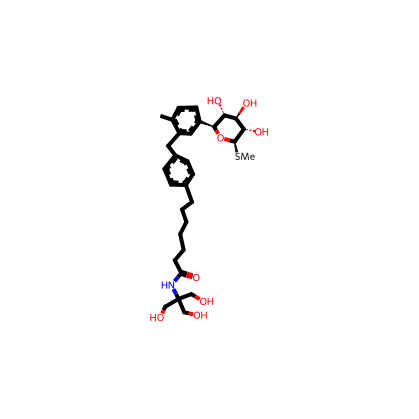 CS[C@H]1O[C@@H](c2ccc(C)c(Cc3ccc(CCCCCCC(=O)NC(CO)(CO)CO)cc3)c2)[C@H](O)[C@@H](O)[C@@H]1O